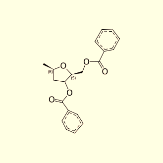 C[C@@H]1CC(OC(=O)c2ccccc2)[C@H](COC(=O)c2ccccc2)O1